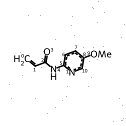 C=CC(=O)Nc1ccc(OC)cn1